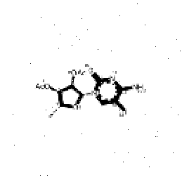 CC(=O)O[C@@H]1[C@H](OC(C)=O)[C@@H](C)O[C@H]1n1cc(I)c(N)nc1=O